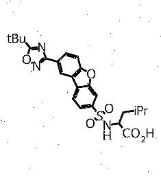 CC(C)CC(NS(=O)(=O)c1ccc2c(c1)oc1ccc(-c3noc(C(C)(C)C)n3)cc12)C(=O)O